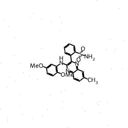 COc1ccc(OC)c(Nc2nc3ccc(C)cc3nc2-c2ccccc2S(N)(=O)=O)c1